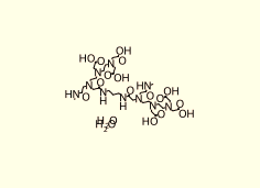 CNC(=O)CN(CCN(CCN(CC(=O)O)CC(=O)O)CC(=O)O)CC(=O)NCCCNC(=O)CN(CCN(CCN(CC(=O)O)CC(=O)O)CC(=O)O)CC(=O)NC.O.O